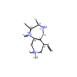 C=CC1C[N+](C)(CC)CC2C1CNC(C)C(C)[N+]2=C